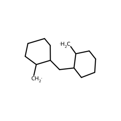 [CH2]C1CCCCC1CC1CCCCC1[CH2]